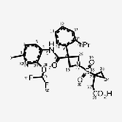 Cc1ccc(NC(=O)C2(c3ccccc3C(C)C)CN(S(=O)(=O)C3(CC(=O)O)CC3)C2)c(OC(F)F)n1